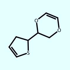 C1=CSC(C2COC=CO2)C1